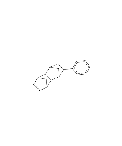 C1=CC2CC1C1C3CC(c4ccccc4)C(C3)C21